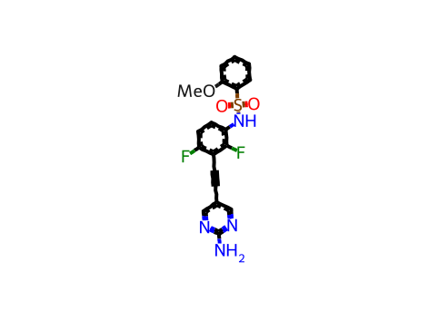 COc1ccccc1S(=O)(=O)Nc1ccc(F)c(C#Cc2cnc(N)nc2)c1F